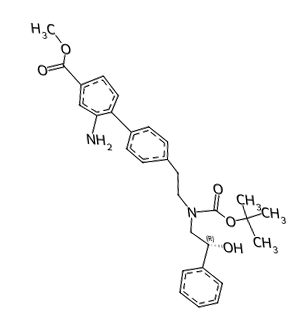 COC(=O)c1ccc(-c2ccc(CCN(C[C@H](O)c3ccccc3)C(=O)OC(C)(C)C)cc2)c(N)c1